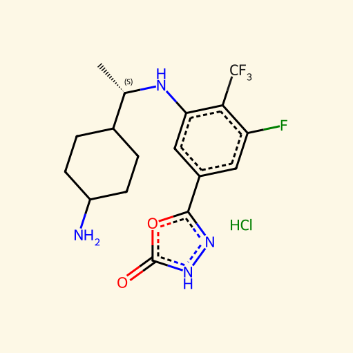 C[C@H](Nc1cc(-c2n[nH]c(=O)o2)cc(F)c1C(F)(F)F)C1CCC(N)CC1.Cl